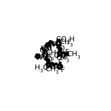 C[C@@H]1CN(CC(=O)N2CC(C)(C)c3cnc(Cc4ccc(F)cc4F)cc32)[C@@H](CN2CCCC2)CN1C(=O)OC(C)(C)C.C[C@@H]1CN(CC(=O)N2CC(C)(C)c3ncc(C(C)(F)F)cc32)[C@@H](CN2CCc3cccnc32)CN1C(=O)O